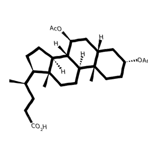 CC(=O)O[C@@H]1CC[C@@]2(C)[C@@H](C1)C[C@H](OC(C)=O)[C@@H]1[C@@H]2CC[C@]2(C)[C@@H]([C@H](C)CCC(=O)O)CC[C@@H]12